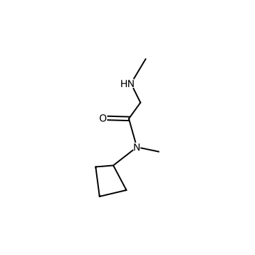 CNCC(=O)N(C)C1CCC1